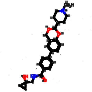 O=C(NCC1(O)CC1)c1ccc(-c2ccc3c(c2)COC(C2CCN(C(=O)O)CC2)O3)cc1